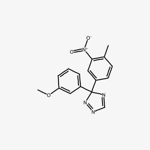 COc1cccc(C2(c3ccc(C)c([N+](=O)[O-])c3)N=CN=N2)c1